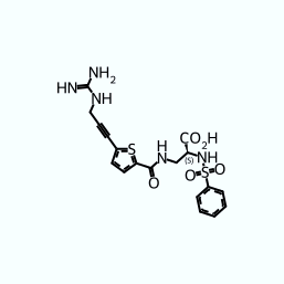 N=C(N)NCC#Cc1ccc(C(=O)NC[C@H](NS(=O)(=O)c2ccccc2)C(=O)O)s1